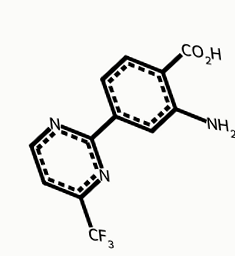 Nc1cc(-c2nccc(C(F)(F)F)n2)ccc1C(=O)O